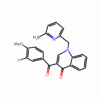 Bc1cccc(Cn2cc(C(=O)c3ccc(OC)c(F)c3)c(=O)c3ccccc32)n1